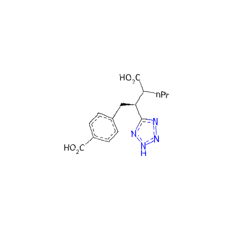 CCCC(C(=O)O)[C@H](Cc1ccc(C(=O)O)cc1)c1nn[nH]n1